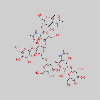 CC(=O)NC1C(O)[C@H](O[C@@H]2OC(CO)[C@H](O)[C@H](O)C2O)[C@H](CO)O[C@H]1OC1[C@@H](OCC2O[C@@H](O[C@@H]3C(CO)O[C@@H](O[C@@H]4C(CO)O[C@@H](C)C(NC(C)=O)[C@H]4O)C(NC(C)=O)[C@H]3O)C(O)[C@@H](O[C@H]3O[C@@H](CO)C(O)C(O)C3O)[C@@H]2O)OC(CO)[C@@H](O)[C@@H]1O